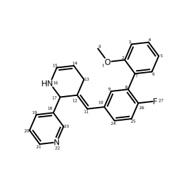 COc1ccccc1-c1cc(C=C2CC=CNC2c2cccnc2)ccc1F